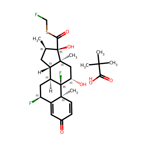 CC(C)(C)C(=O)O.C[C@@H]1C[C@H]2[C@@H]3C[C@H](F)C4=CC(=O)C=C[C@]4(C)[C@@]3(F)[C@@H](O)C[C@]2(C)[C@@]1(O)C(=O)SCF